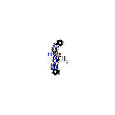 C[C@@H]1CN(c2ncc3ccccc3n2)CCN1C(=O)NC1CCN(Cc2ccccc2)CC1